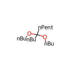 CCCCCC(CCCC)(OCCCC)OCCCC